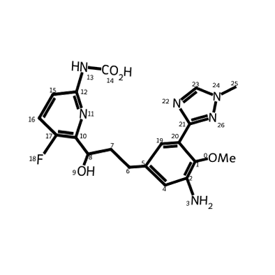 COc1c(N)cc(CCC(O)c2nc(NC(=O)O)ccc2F)cc1-c1ncn(C)n1